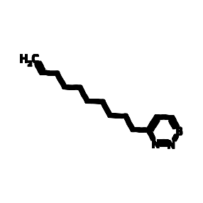 C=CCCCCCCCCc1ccbnn1